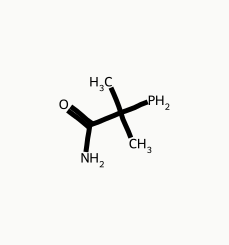 CC(C)(P)C(N)=O